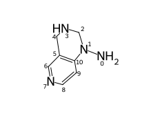 NN1CNCc2cnccc21